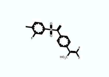 C=C(c1ccc(C(C(=O)O)=C(F)F)cc1)S(=O)(=O)c1ccc(C)c(F)c1